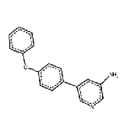 Nc1cncc(-c2ccc(Oc3ccccc3)cc2)c1